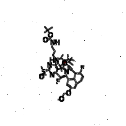 COCOc1cc(-c2nc(OC(C)C)c3c(NCCCNC(=O)OC(C)(C)C)nc([S+](C)[O-])nc3c2F)c2c(C#C[Si](C(C)C)(C(C)C)C(C)C)c(F)ccc2c1